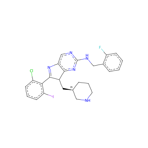 Fc1ccccc1CNc1ncc2c(n1)C(C[C@H]1CCCNC1)C(c1c(Cl)cccc1I)=N2